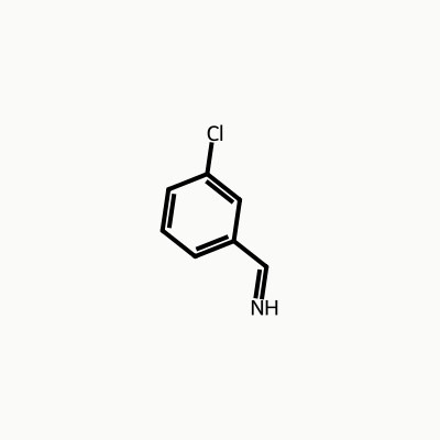 N=Cc1cccc(Cl)c1